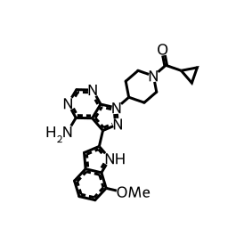 COc1cccc2cc(-c3nn(C4CCN(C(=O)C5CC5)CC4)c4ncnc(N)c34)[nH]c12